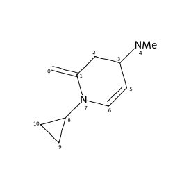 C=C1CC(NC)C=CN1C1CC1